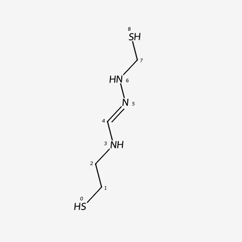 SCCNC=NNCS